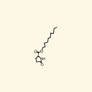 CCCCCCCCCCOC(=O)[C@@H]1CCC(=O)N1